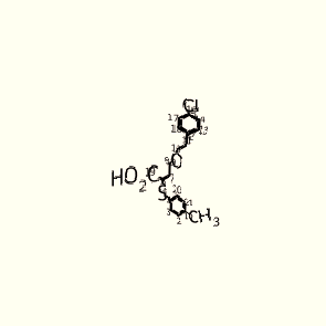 Cc1ccc(SC(CCOCCc2ccc(Cl)cc2)C(=O)O)cc1